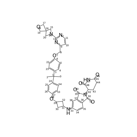 CC(C)(c1ccc(OCc2ccnc(N3CC4(COC4)C3)n2)cc1)c1ccc(OC2CC(Nc3ccc4c(c3)C(=O)N(C3CCC(=O)NC3=O)C4=O)C2)cc1